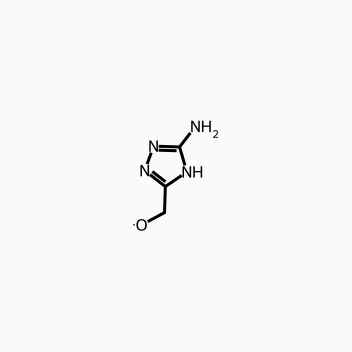 Nc1nnc(C[O])[nH]1